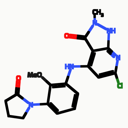 COc1c(Nc2cc(Cl)nc3[nH]n(C)c(=O)c23)cccc1N1CCCC1=O